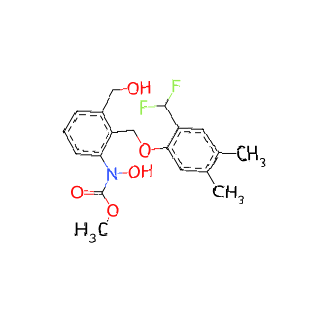 COC(=O)N(O)c1cccc(CO)c1COc1cc(C)c(C)cc1C(F)F